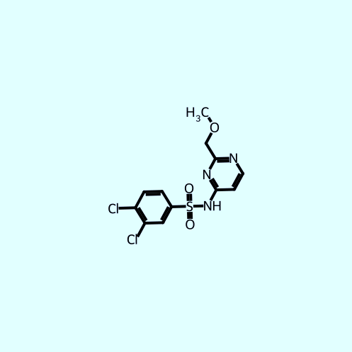 COCc1nccc(NS(=O)(=O)c2ccc(Cl)c(Cl)c2)n1